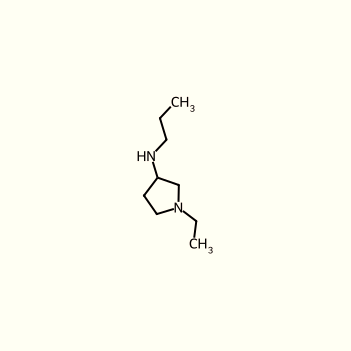 CCCNC1CCN(CC)C1